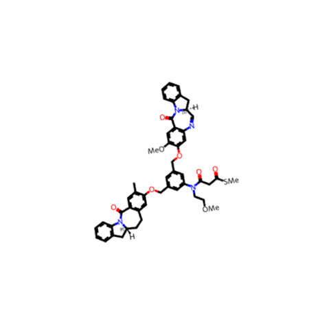 COCCN(C(=O)CC(=O)SC)c1cc(COc2cc3c(cc2C)C(=O)N2c4ccccc4C[C@H]2CC3)cc(COc2cc3c(cc2OC)C(=O)N2c4ccccc4C[C@H]2C=N3)c1